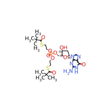 CC(C)(C)C(=O)SCCOP(=O)(OCCSC(=O)C(C)(C)C)OC[C@H]1O[C@@H](n2cnc3c(=O)[nH]c(N)nc32)C[C@@H]1O